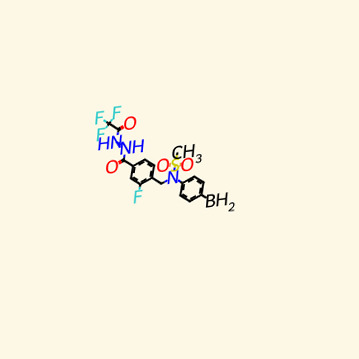 Bc1ccc(N(Cc2ccc(C(=O)NNC(=O)C(F)(F)F)cc2F)S(C)(=O)=O)cc1